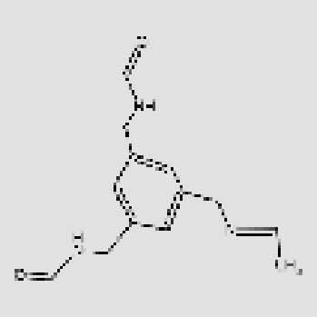 CC=NCc1cc(CNC=O)cc(CNC=O)c1